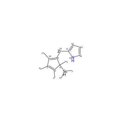 CC1=C(C)C(C)([SiH](C)C)[C]([Zr][c]2ccc[nH]2)=C1C